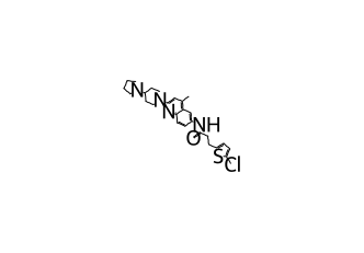 Cc1cc(N2CCC(N3CCCC3)CC2)nc2ccc(NC(=O)CCc3ccc(Cl)s3)cc12